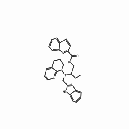 CCC(CNC(=O)c1ccc2ccccc2n1)N(Cc1nc2ccccc2[nH]1)C1CCCc2cccnc21